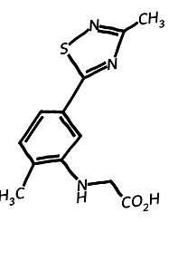 Cc1nsc(-c2ccc(C)c(NCC(=O)O)c2)n1